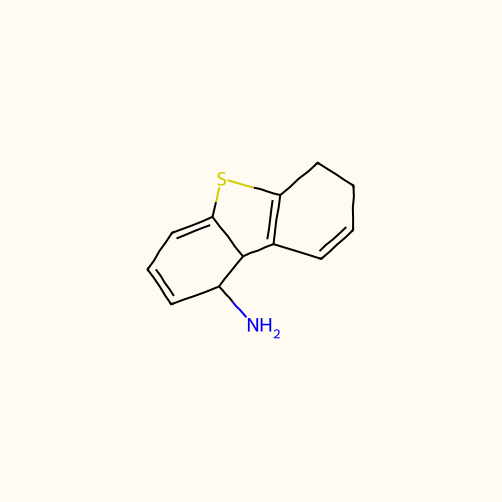 NC1C=CC=C2SC3=C(C=CCC3)C21